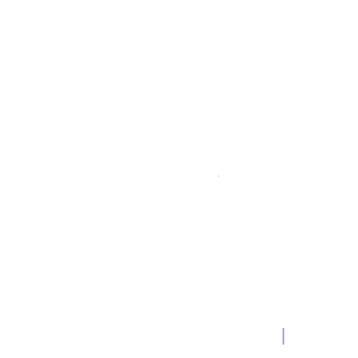 ICC[C]1CCCCCCCC1